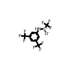 [O-][S+](Nc1cc(C(F)(F)F)cc(C(F)(F)F)c1)C(F)(F)F